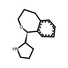 c1ccc2c(c1)CCCO[C@@H]2C1CCCN1